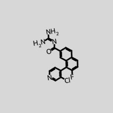 NC(N)=NC(=O)c1ccc2ccc(F)c(-c3ccncc3Cl)c2c1